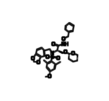 COc1cc(C)c(S(=O)(=O)N(Cc2ccc3c(c2)OCO3)[C@H](COC2CCCCO2)C(=O)NOCc2ccccc2)c(C)c1